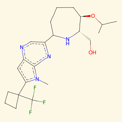 CC(C)O[C@@H]1CCCC(c2cnc3cc(C4(C(F)(F)F)CCC4)n(C)c3n2)N[C@H]1CO